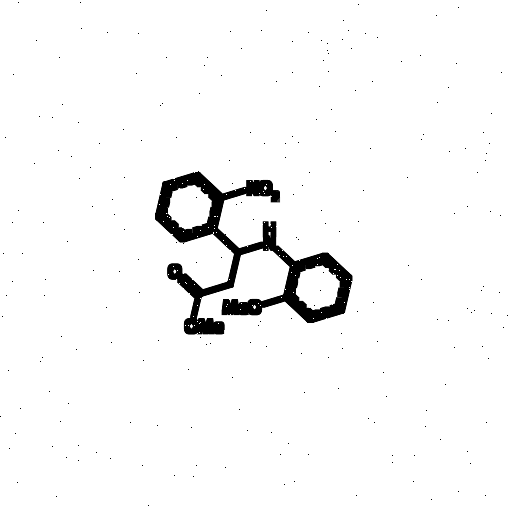 COC(=O)CC(Nc1ccccc1OC)c1ccccc1[N+](=O)[O-]